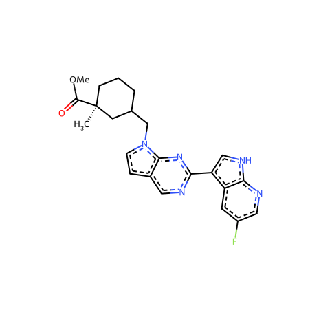 COC(=O)[C@@]1(C)CCCC(Cn2ccc3cnc(-c4c[nH]c5ncc(F)cc45)nc32)C1